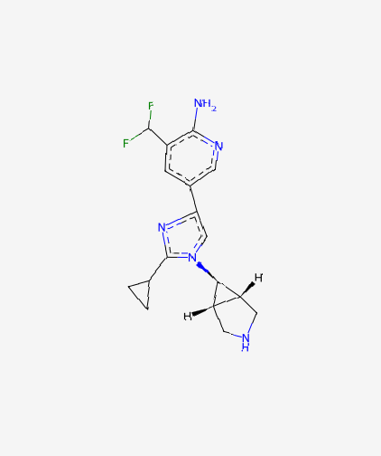 Nc1ncc(-c2cn([C@H]3[C@@H]4CNC[C@@H]43)c(C3CC3)n2)cc1C(F)F